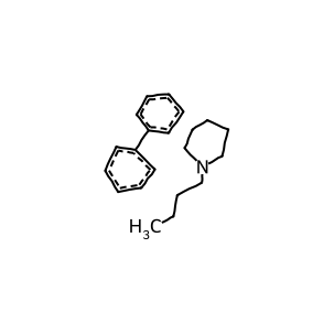 CCCCN1CCCCC1.c1ccc(-c2ccccc2)cc1